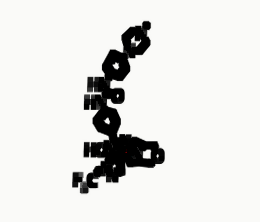 CN1CCN(c2ccc(NC(=O)Nc3ccc(-c4nc(N5C6COCC5CN(C(=O)O)C6)c5cnn(CC(F)(F)F)c5n4)cc3)cc2)CC1